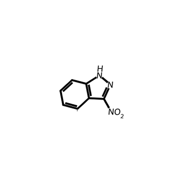 O=[N+]([O-])c1n[nH]c2ccc[c]c12